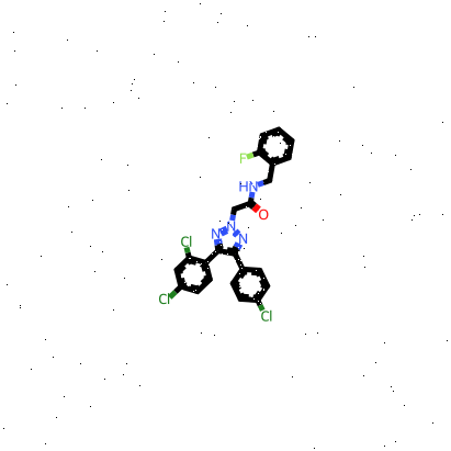 O=C(Cn1nc(-c2ccc(Cl)cc2)c(-c2ccc(Cl)cc2Cl)n1)NCc1ccccc1F